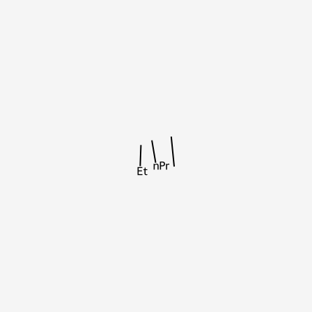 CC.CCC.CCCC